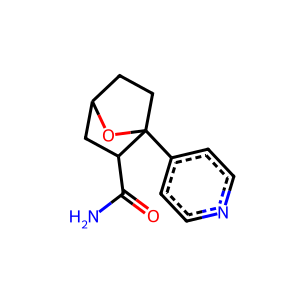 NC(=O)C1CC2CCC1(c1ccncc1)O2